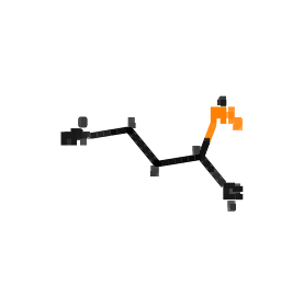 CCCCCC(P)CC